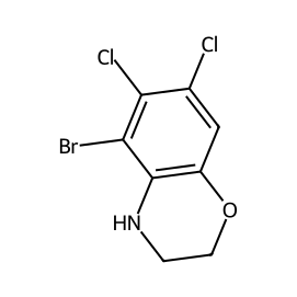 Clc1cc2c(c(Br)c1Cl)NCCO2